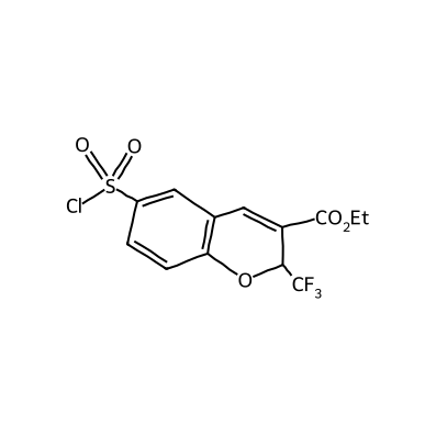 CCOC(=O)C1=Cc2cc(S(=O)(=O)Cl)ccc2OC1C(F)(F)F